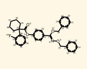 O=C(Oc1ccc(C(=NOCc2ccccc2)OCc2ccccc2)cc1)C1(c2ccccc2F)CCCCC1